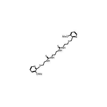 COc1cccnc1CSCCNC(=S)NCCCNC(=S)NCCSCc1ncccc1OC